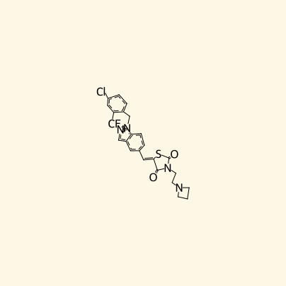 O=C1S/C(=C\c2ccc3c(cnn3Cc3ccc(Cl)cc3C(F)(F)F)c2)C(=O)N1CCN1CCC1